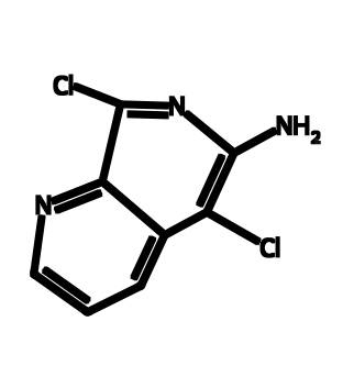 Nc1nc(Cl)c2ncccc2c1Cl